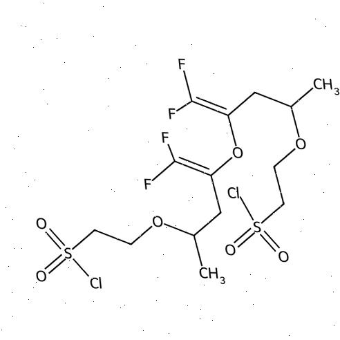 CC(CC(OC(CC(C)OCCS(=O)(=O)Cl)=C(F)F)=C(F)F)OCCS(=O)(=O)Cl